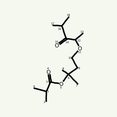 CC(C)C(=O)OC(C)(C)CCOC(C)C(=O)C(C)C